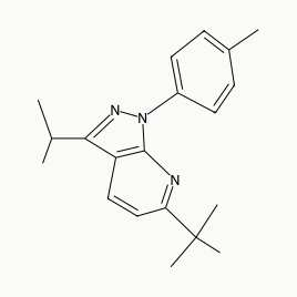 Cc1ccc(-n2nc(C(C)C)c3ccc(C(C)(C)C)nc32)cc1